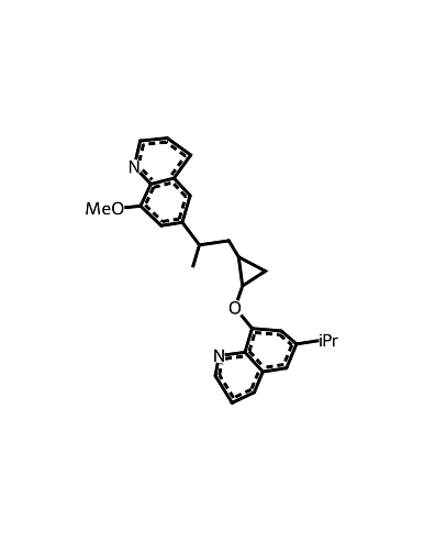 COc1cc(C(C)CC2CC2Oc2cc(C(C)C)cc3cccnc23)cc2cccnc12